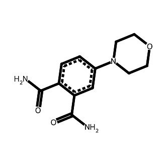 NC(=O)c1ccc(N2CCOCC2)cc1C(N)=O